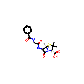 CC1(C)S[C@@H]2[C@H](NC(=O)CNC(=O)c3ccccc3)C(=O)N2[C@H]1C(=O)O